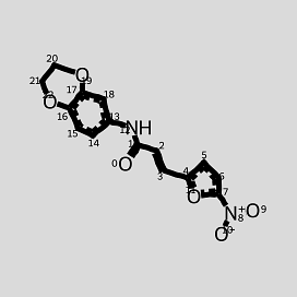 O=C(/C=C/c1ccc([N+](=O)[O-])o1)Nc1ccc2c(c1)OCCO2